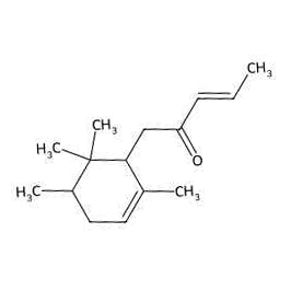 C/C=C/C(=O)CC1C(C)=CCC(C)C1(C)C